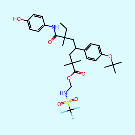 CCC(C)(CC(CC(C)(C)C(=O)OCNS(=O)(=O)C(F)(F)F)c1ccc(OC(C)(C)C)cc1)C(=O)Nc1ccc(O)cc1